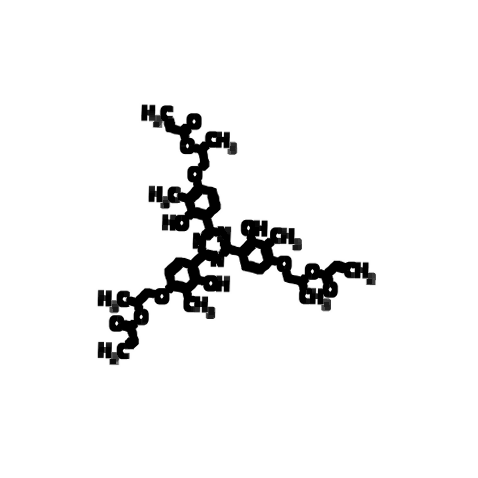 C=CC(=O)OC(C)COc1ccc(-c2nc(-c3ccc(OCC(C)OC(=O)C=C)c(C)c3O)nc(-c3ccc(OCC(C)OC(=O)C=C)c(C)c3O)n2)c(O)c1C